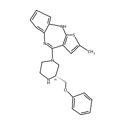 Cc1cc2c(s1)Nc1ccccc1N=C2N1CCN[C@@H](COc2ccccc2)C1